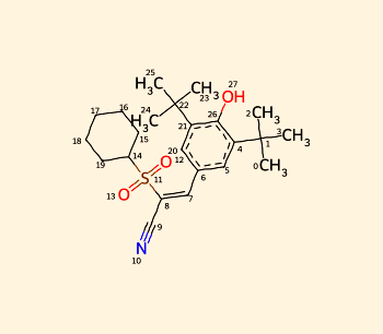 CC(C)(C)c1cc(C=C(C#N)S(=O)(=O)C2CCCCC2)cc(C(C)(C)C)c1O